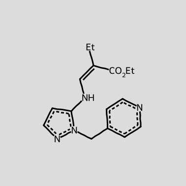 CCOC(=O)/C(=C\Nc1ccnn1Cc1ccncc1)CC